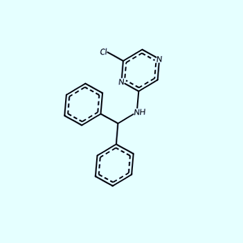 Clc1cncc(NC(c2ccccc2)c2ccccc2)n1